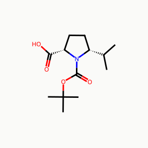 CC(C)[C@H]1CC[C@@H](C(=O)O)N1C(=O)OC(C)(C)C